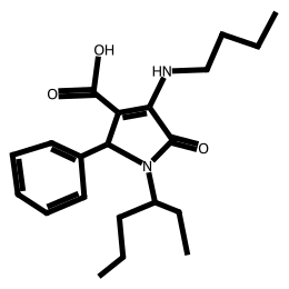 CCCCNC1=C(C(=O)O)C(c2ccccc2)N(C(CC)CCC)C1=O